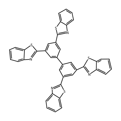 c1ccc2sc(-c3cc(-c4cc(-c5nc6ccccc6s5)cc(-c5nc6ccccc6s5)c4)cc(-c4nc5ccccc5s4)c3)nc2c1